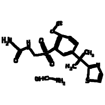 CCOc1ccc(C(C)(C)c2nccs2)cc1S(=O)(=O)CNC(N)=O.NC=O